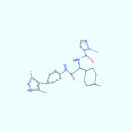 Cc1n[nH]c(C)c1-c1ccc(NC(=O)C(NC(=O)c2ccnn2C)C2CCC(C)CC2)cc1